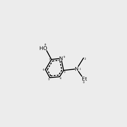 CCN(C)c1cccc(O)n1